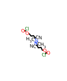 CC(C#N)(CCCOC(=O)Cl)N=NC(C)(C#N)CCCOC(=O)Cl